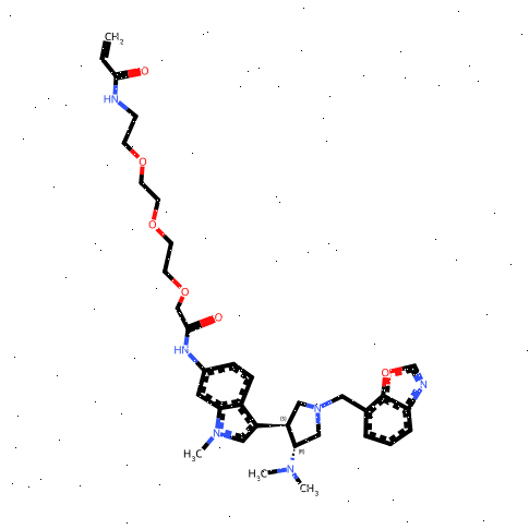 C=CC(=O)NCCOCCOCCOCC(=O)Nc1ccc2c([C@H]3CN(Cc4cccc5ncoc45)C[C@@H]3N(C)C)cn(C)c2c1